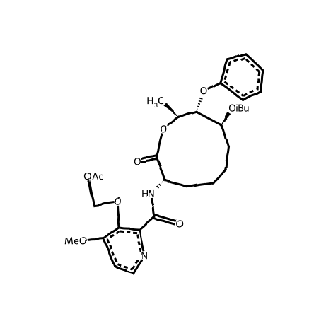 COc1ccnc(C(=O)N[C@H]2CCCC[C@H](OCC(C)C)[C@@H](Oc3ccccc3)[C@H](C)OC2=O)c1OCOC(C)=O